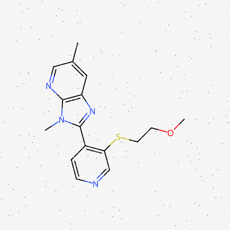 COCCSc1cnccc1-c1nc2cc(C)cnc2n1C